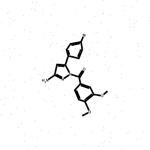 COc1ccc(C(=O)n2nc(N)cc2-c2ccc(Br)cc2)cc1OC